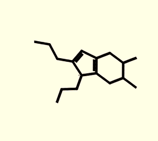 CCC[C]1C(CCC)=CC2=C1CC(C)C(C)C2